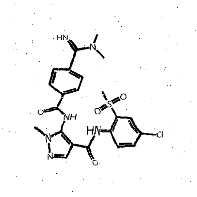 CN(C)C(=N)c1ccc(C(=O)Nc2c(C(=O)Nc3ccc(Cl)cc3S(C)(=O)=O)cnn2C)cc1